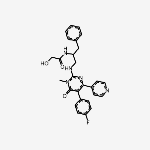 Cn1c(NCC(Cc2ccccc2)NC(=O)CO)nc(-c2ccncc2)c(-c2ccc(F)cc2)c1=O